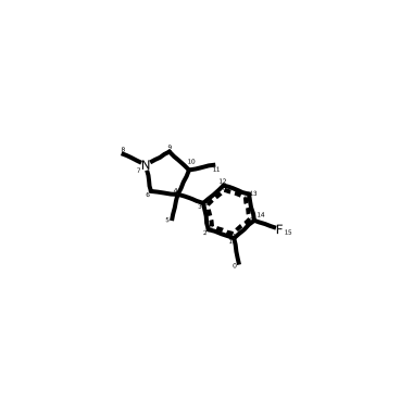 Cc1cc(C2(C)CN(C)CC2C)ccc1F